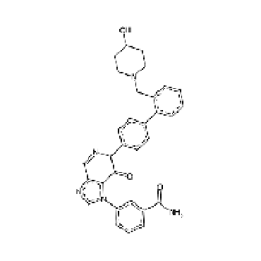 NC(=O)c1cccc(-n2cnc3c2C(=O)C(c2ccc(-c4ccccc4CN4CCC(O)CC4)cc2)N=C3)c1